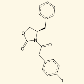 O=C(Cc1ccc(I)cc1)N1C(=O)OC[C@H]1Cc1ccccc1